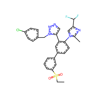 CCS(=O)(=O)c1cccc(-c2ccc(-n3cc(C(F)F)nc3C)c(-c3cnnn3Cc3ccc(Cl)cc3)c2)c1